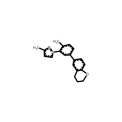 Cc1ccn(-c2cc(-c3ccc4c(c3)CCCO4)ccc2C)n1